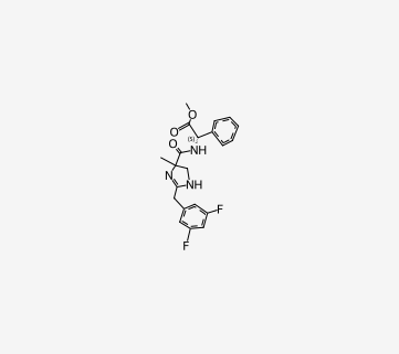 COC(=O)[C@@H](NC(=O)C1(C)CNC(Cc2cc(F)cc(F)c2)=N1)c1ccccc1